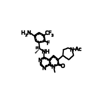 CC(=O)N1CCC(c2cc3c(N[C@H](C)c4cc(N)cc(C(F)(F)F)c4F)ncnc3n(C)c2=O)CC1